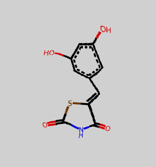 O=C1NC(=O)C(=Cc2cc(O)cc(O)c2)S1